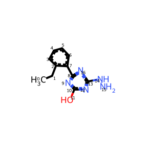 CCc1ccccc1-c1nc(O)nc(NN)n1